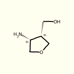 N[C@H]1COC[C@H]1CO